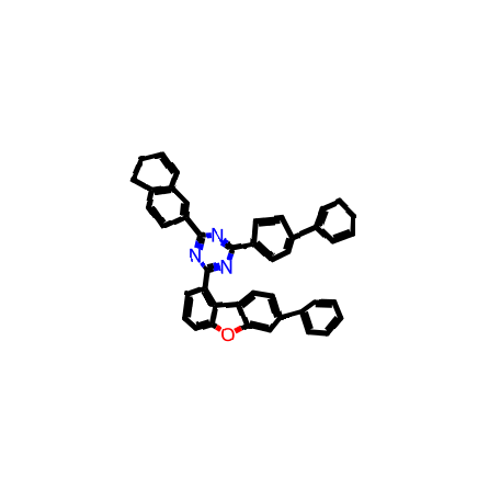 C1=CC(c2ccc(-c3nc(-c4ccc5c(c4)C=CCC5)nc(-c4cccc5oc6cc(-c7ccccc7)ccc6c45)n3)cc2)=CCC1